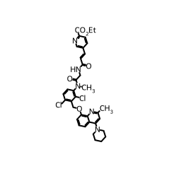 CCOC(=O)c1ccc(/C=C/C(=O)NCC(=O)N(C)c2ccc(Cl)c(COc3cccc4c(N5CCCCC5)cc(C)nc34)c2Cl)cn1